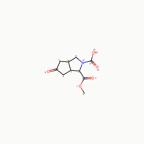 COC(=O)C1C2CC(=O)CC2CN1C(=O)O